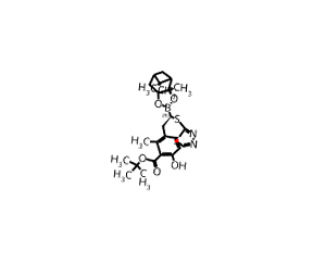 Cc1c(C[C@H](Sc2nncs2)B2OC3CC4CC(C4(C)C)[C@]3(C)O2)ccc(O)c1C(=O)OC(C)(C)C